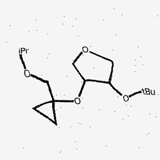 CC(C)OCC1(OC2COCC2OC(C)(C)C)CC1